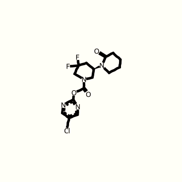 O=C(Oc1ncc(Cl)cn1)N1C[C@H](N2CCCCC2=O)CC(F)(F)C1